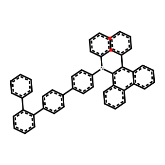 c1ccc(-c2ccccc2-c2ccc(-c3ccc(N(c4ccccc4)c4c(-c5ccccc5)c5ccccc5c5ccccc45)cc3)cc2)cc1